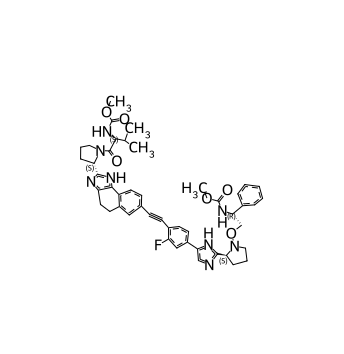 COC(=O)N[C@@H](CON1CCC[C@H]1c1ncc(-c2ccc(C#Cc3ccc4c(c3)CCc3nc([C@@H]5CCCN5C(=O)[C@@H](NC(=O)OC)C(C)C)[nH]c3-4)c(F)c2)[nH]1)c1ccccc1